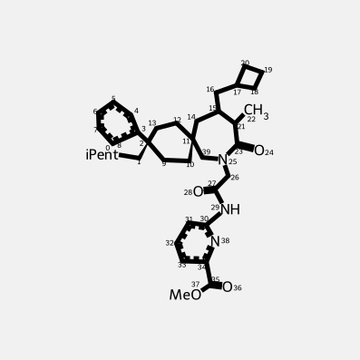 CCCC(C)C[C@]1(c2ccccc2)CC[C@@]2(CC1)CC(CC1CCC1)C(C)C(=O)N(CC(=O)Nc1cccc(C(=O)OC)n1)C2